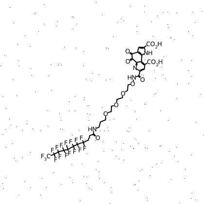 O=C(CCC(F)(F)C(F)(F)C(F)(F)C(F)(F)C(F)(F)C(F)(F)C(F)(F)C(F)(F)F)NCCCOCCOCCOCCONC(=O)c1cc(C(=O)O)c2c(n1)C(=O)C(=O)c1cc(C(=O)O)[nH]c1-2